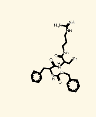 CC(C)CC(NC(=O)C(Cc1ccccc1)NC(=O)OCc1ccccc1)C(=O)NCCCNC(=N)N